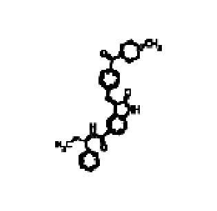 CC[C@H](NC(=O)c1ccc2c(c1)/C(=C/c1ccc(C(=O)N3CCN(C)CC3)cc1)C(=O)N2)c1ccccc1